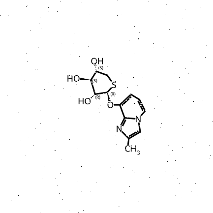 Cc1cn2cccc(O[C@@H]3SC[C@@H](O)[C@H](O)[C@H]3O)c2n1